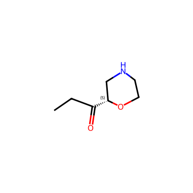 CCC(=O)[C@@H]1CNCCO1